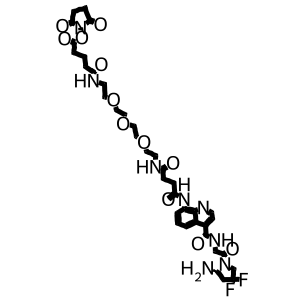 N[C@@H]1CC(F)(F)CN1C(=O)CNC(=O)c1ccnc2c(NC(=O)CCC(=O)NCCOCCOCCOCCNC(=O)CCCC(=O)ON3C(=O)CCC3=O)cccc12